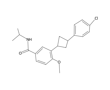 COc1ccc(C(=O)NC(C)C)cc1C1CC(c2ccc(Cl)cc2)C1